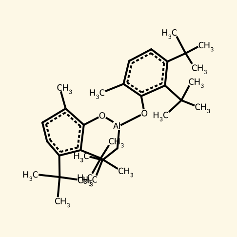 Cc1ccc(C(C)(C)C)c(C(C)(C)C)c1[O][Al]([CH2]C(C)C)[O]c1c(C)ccc(C(C)(C)C)c1C(C)(C)C